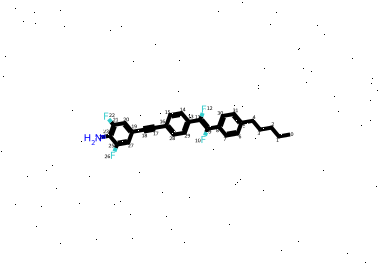 CCCCCc1ccc(C(F)=C(F)c2ccc(C#Cc3cc(F)c(N)c(F)c3)cc2)cc1